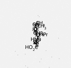 CC(C)Oc1cc(C(=O)Nc2nc(CC(=O)O)cs2)cc(Oc2ccc(C(=O)N(C)C)cc2)n1